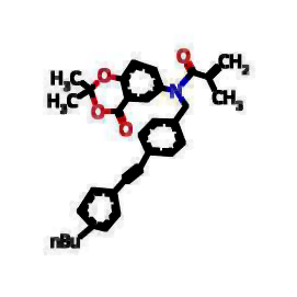 C=C(C)C(=O)N(Cc1ccc(C#Cc2ccc(CCCC)cc2)cc1)c1ccc2c(c1)C(=O)OC(C)(C)O2